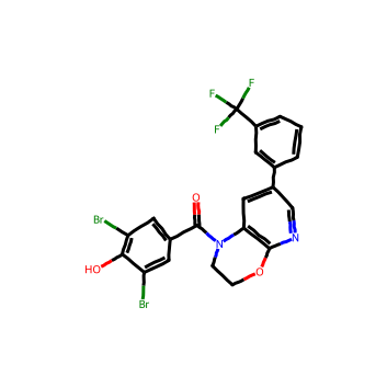 O=C(c1cc(Br)c(O)c(Br)c1)N1CCOc2ncc(-c3cccc(C(F)(F)F)c3)cc21